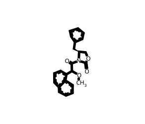 COC(C(=O)N1C(=O)OC[C@@H]1Cc1ccccc1)c1cccc2ccccc12